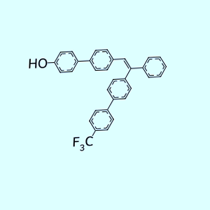 Oc1ccc(-c2ccc(C=C(c3ccccc3)c3ccc(-c4ccc(C(F)(F)F)cc4)cc3)cc2)cc1